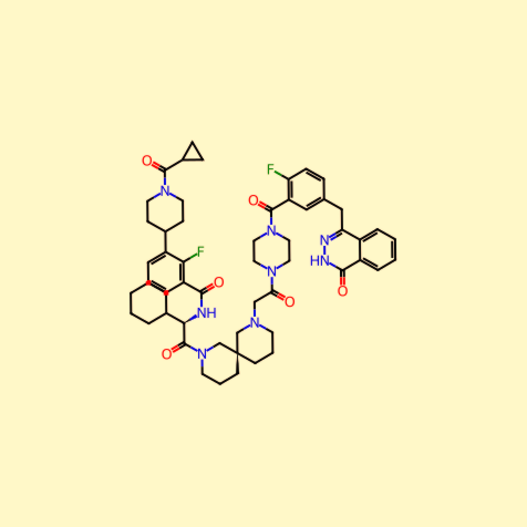 O=C(N[C@@H](C(=O)N1CCC[C@@]2(CCCN(CC(=O)N3CCN(C(=O)c4cc(Cc5n[nH]c(=O)c6ccccc56)ccc4F)CC3)C2)C1)C1CCCCC1)c1cccc(C2CCN(C(=O)C3CC3)CC2)c1F